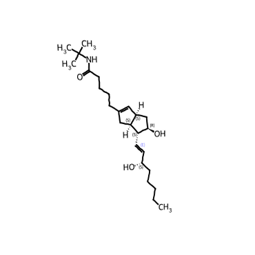 CCCCC[C@H](O)/C=C/[C@@H]1[C@H]2CC(CCCCC(=O)NC(C)(C)C)=C[C@H]2C[C@H]1O